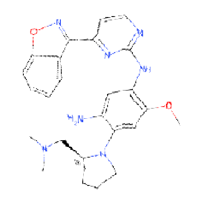 COc1cc(N2CCC[C@H]2CN(C)C)c(N)cc1Nc1nccc(-c2noc3ccccc23)n1